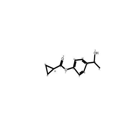 CC(O)c1ccc(OC(=O)C2CC2)cc1